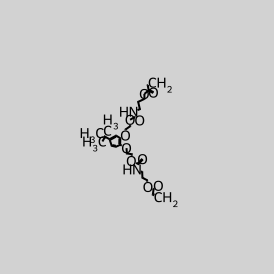 C=CC(=O)OCCCNC(=O)OCCOc1ccc(C(C)(C)C)cc1OCCOC(=O)NCCCOC(=O)C=C